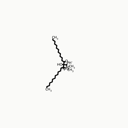 CCCCCCCCCCCCC(=O)C(O)(C(=O)CCCCCCCCCCCC)C([PH-])[N+](C)(C)C